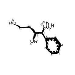 O=C(O)C(c1ccccc1)C(O)CCO